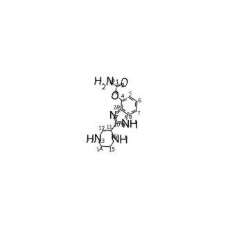 NC(=O)Oc1cccc2[nH]c(C3CNCCN3)nc12